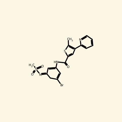 Cc1sc(C(=O)NC2=CC(=NS(C)(=O)=O)CC(Br)=C2)cc1-c1ccccn1